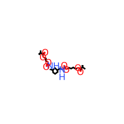 C=C(C)C(=O)OCCCCOC(=O)NCC1CCCC(CNC(=O)OCCOC(=O)C(=C)C)C1